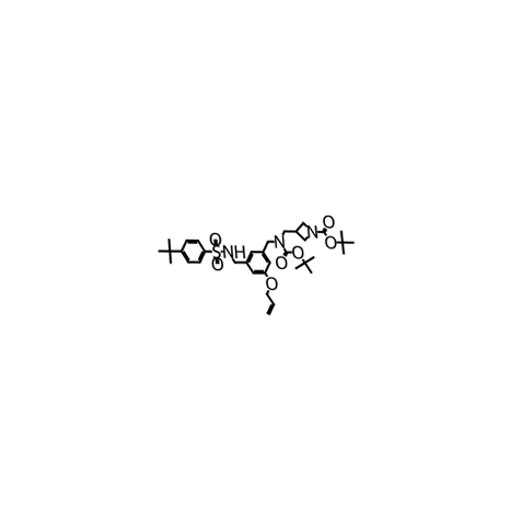 C=CCOc1cc(CNS(=O)(=O)c2ccc(C(C)(C)C)cc2)cc(CN(CC2CN(C(=O)OC(C)(C)C)C2)C(=O)OC(C)(C)C)c1